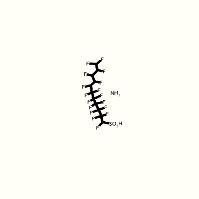 N.O=S(=O)(O)C(F)C(F)(F)C(F)(F)C(F)(F)C(F)(F)C(F)(F)C(F)C(F)C(F)C(F)C(F)F